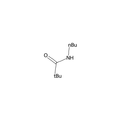 CCCCNC(=O)C(C)(C)C